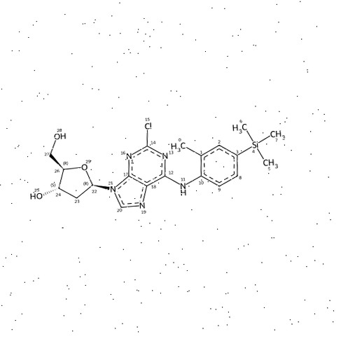 Cc1cc([Si](C)(C)C)ccc1Nc1nc(Cl)nc2c1ncn2[C@H]1C[C@H](O)[C@@H](CO)O1